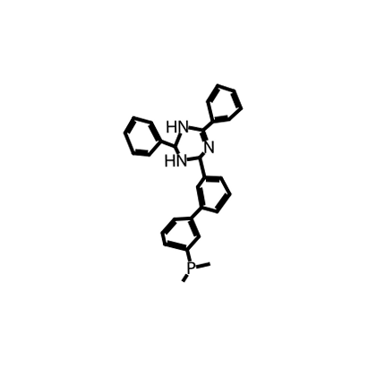 CP(C)c1cccc(-c2cccc(C3N=C(c4ccccc4)NC(c4ccccc4)N3)c2)c1